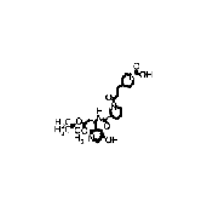 CC(C)(C)OC(=O)C[C@H](NC(=O)[C@@H]1CCCN(C(=O)CCC2CCN(C(=O)O)CC2)C1)c1cncc(O)c1